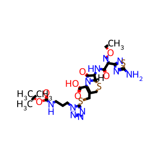 CCON=C(C(=O)NC1C(=O)N2C(C(=O)O)=C(CSc3nnnn3CCCNC(=O)OC(C)(C)C)CS[C@@H]12)c1nsc(N)n1